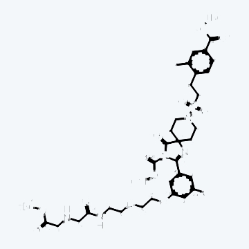 Cc1cc(C(=O)OC(C)(C)C)ccc1CCS(=O)(=O)N1CCC2(CC1)N=C(c1cc(OCCOCCNC(=O)CNCC(=O)OC(C)(C)C)cc(C(F)(F)F)c1)N(C(=O)OC(C)(C)C)C2=O